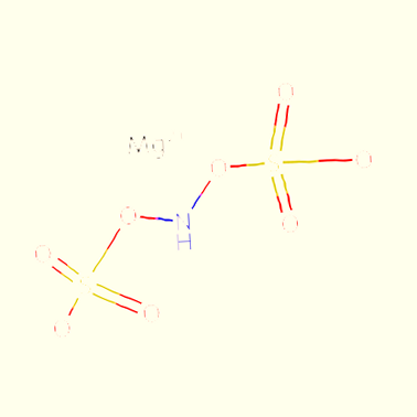 O=S(=O)([O-])ONOS(=O)(=O)[O-].[Mg+2]